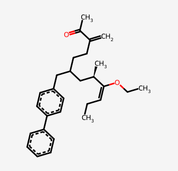 C=C(CCC(Cc1ccc(-c2ccccc2)cc1)C[C@@H](C)/C(=C\CC)OCC)C(C)=O